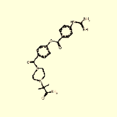 CC(C)(C(N)=O)N1CCN(C(=O)c2ccc(OC(=O)c3ccc(NC(=N)N)cc3)cc2)CC1